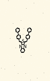 C(c1ccc(-c2ccccc2)cc1)=c1sc(=Cc2ccc(-c3ccccc3)cc2)c2nc3ccccc3nc12